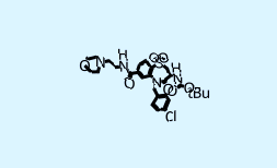 CC(C)(C)OC(=O)N[C@H]1CS(=O)(=O)c2ccc(C(=O)NCCN3CCOCC3)cc2N(Cc2ccc(Cl)cc2)C1=O